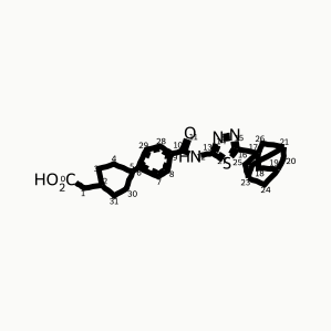 O=C(O)CC1CCC(c2ccc(C(=O)Nc3nnc(C45CC6CC(CC(C6)C4)C5)s3)cc2)CC1